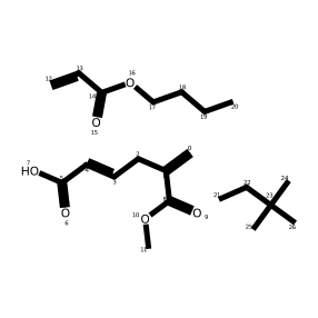 C=C(CC=CC(=O)O)C(=O)OC.C=CC(=O)OCCCC.CCC(C)(C)C